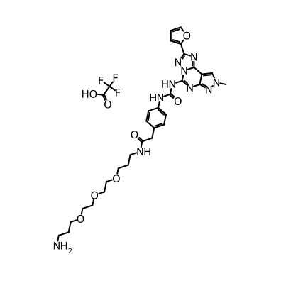 Cn1cc2c(nc(NC(=O)Nc3ccc(CC(=O)NCCCOCCOCCOCCCN)cc3)n3nc(-c4ccco4)nc23)n1.O=C(O)C(F)(F)F